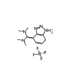 CN(C)C(=C1C=CCC2=C1N=N[NH2+]2)N(C)C.F[B-](F)(F)F